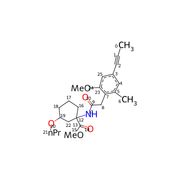 CC#Cc1cc(C)c(CC(=O)NC2(C(=O)OC)CCCC(OCCC)C2)c(OC)c1